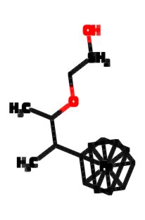 CC(OC[SiH2]O)C(C)[C]12[CH]3[CH]4[CH]5[CH]1[Fe]45321678[CH]2[CH]1[CH]6[CH]7[CH]28